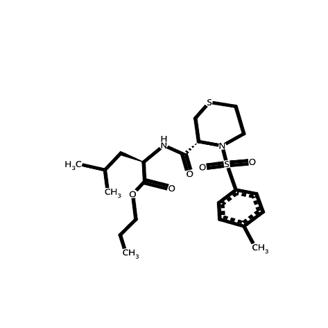 CCCOC(=O)[C@@H](CC(C)C)NC(=O)[C@@H]1CSCCN1S(=O)(=O)c1ccc(C)cc1